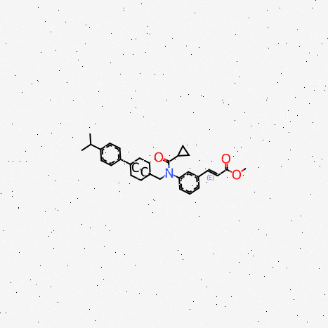 COC(=O)/C=C/c1cccc(N(CC23CCC(c4ccc(C(C)C)cc4)(CC2)CC3)C(=O)C2CC2)c1